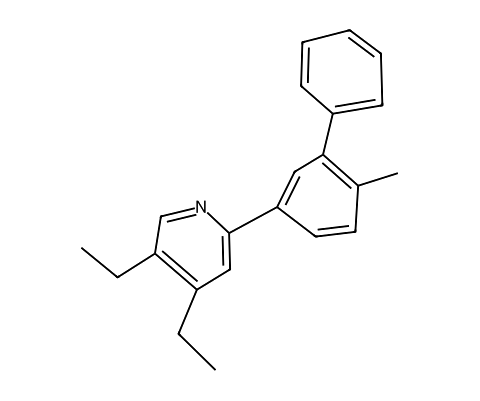 CCc1cnc(-c2ccc(C)c(-c3ccccc3)c2)cc1CC